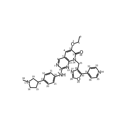 CCOc1cc2cnc(Nc3ccc(C4CCN(C)C4)cc3)nc2n(Cc2ncoc2-c2ccncc2)c1=O